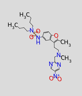 CCCCN(CCCC)S(=O)(=O)Nc1ccc2oc(C)c(CCN(C)Cc3ncc([N+](=O)[O-])cn3)c2c1